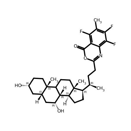 Cc1c(F)c(F)c2nc(CC[C@@H](C)[C@H]3CC[C@H]4[C@H]5C(CC[C@]34C)[C@@]3(C)CC[C@@H](O)C[C@H]3C[C@H]5O)oc(=O)c2c1F